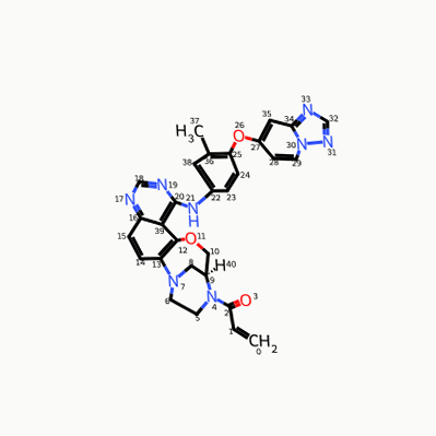 C=CC(=O)N1CCN2C[C@H]1COc1c2ccc2ncnc(Nc3ccc(Oc4ccn5ncnc5c4)c(C)c3)c12